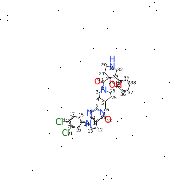 O=C(N1CCC(Cn2cnc3c(ccn3-c3ccc(Cl)c(Cl)c3)c2=O)CC1)[C@@]1(O)CCNC[C@H]1c1ccccc1